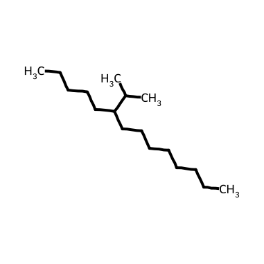 CCCCCCCCC(CCCCC)C(C)C